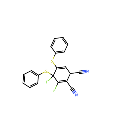 N#CC1=C(F)C(F)(Sc2ccccc2)C(Sc2ccccc2)=CC1C#N